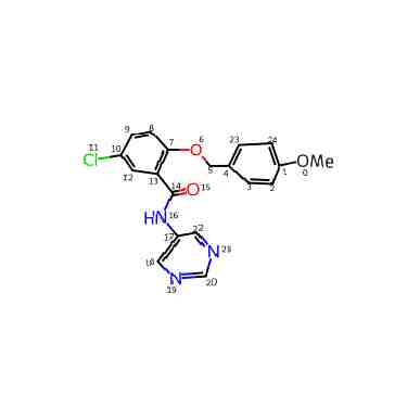 COc1ccc(COc2ccc(Cl)cc2C(=O)Nc2cncnc2)cc1